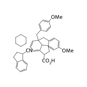 C1CCCCC1.COc1ccc(CC2(Cc3ccc(OC)cc3)C=CC=C3C(C(=O)O)CCC32)cc1.N#CC1CCc2ccccc21